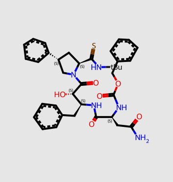 CC(C)(C)NC(=S)[C@@H]1C[C@@H](c2ccccc2)CN1C(=O)[C@@H](O)[C@H](Cc1ccccc1)NC(=O)[C@H](CC(N)=O)NC(=O)OCc1ccccc1